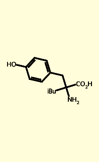 CCC(C)C(N)(Cc1ccc(O)cc1)C(=O)O